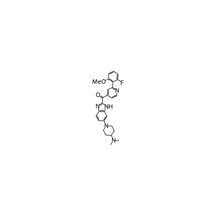 COc1cccc(F)c1-c1cc(C(=O)c2nc3ccc(N4CCC(N(C)C)CC4)cc3[nH]2)ccn1